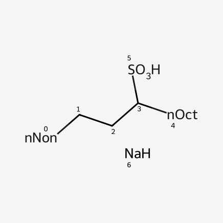 CCCCCCCCCCCC(CCCCCCCC)S(=O)(=O)O.[NaH]